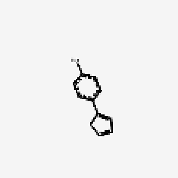 Oc1ccc(C2=CC=CC2)cc1